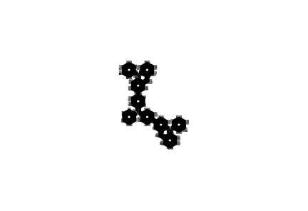 c1ccc(N(c2ccc(-c3ccc4c(c3)Cc3ccccc3N4c3ccccc3)cc2)c2ccc(-c3ccc4c(c3)Cc3ccccc3N4c3ccccc3)cc2)cc1